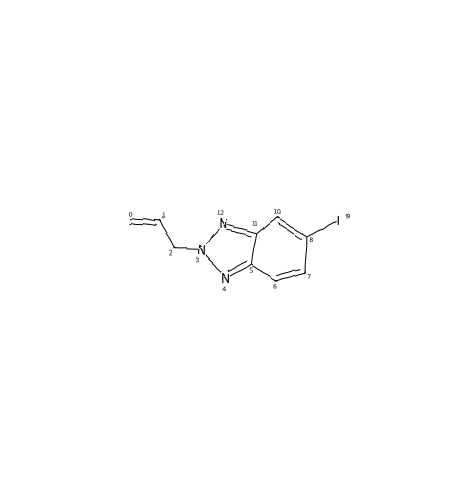 C=CCn1nc2ccc(I)cc2n1